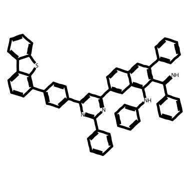 N=C(c1ccccc1)c1c(-c2ccccc2)cc2ccc(-c3cc(-c4ccc(-c5cccc6c5sc5ccccc56)cc4)nc(-c4ccccc4)n3)cc2c1Nc1ccccc1